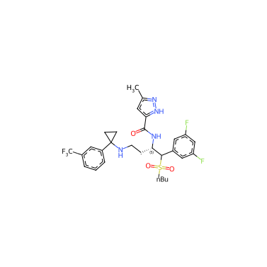 CCCCS(=O)(=O)C(c1cc(F)cc(F)c1)[C@H]([CH]CNC1(c2cccc(C(F)(F)F)c2)CC1)NC(=O)c1cc(C)n[nH]1